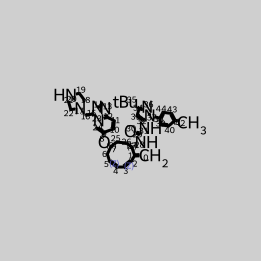 C=C1/C=C\C=C/C[C@H](Oc2ccc3nnc(CN4CCNCC4)n3c2)CC[C@@H]1NC(=O)Nc1cc(C(C)(C)C)nn1-c1ccc(C)cc1